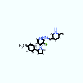 CC1CCC(CNc2nccc(N3CCCC3c3ccc(C(F)(F)F)cc3)c2F)CN1